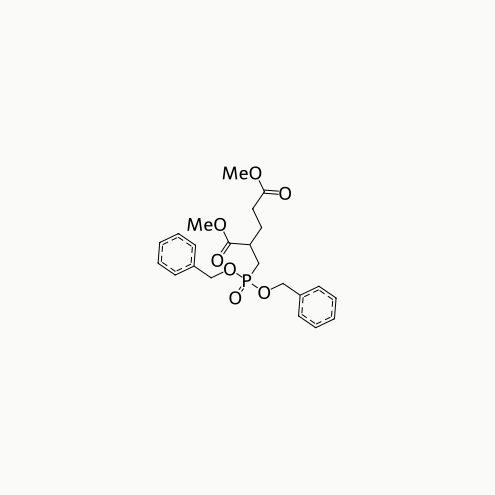 COC(=O)CCC(CP(=O)(OCc1ccccc1)OCc1ccccc1)C(=O)OC